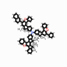 CC1(C)C2=C3C(c4ccc(N(c5ccc6c(c5)C(C)(C)c5cc(-c7ccccc7)c7oc8ccccc8c7c5-6)c5ccc6c(c5)C(C)(C)c5cc(-c7ccc8ccccc8c7)c7oc8ccccc8c7c5-6)cc4C3(C)C)C3C(=C2c2ccccc21)Oc1ccccc13